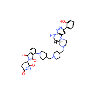 O=C1CCC(N2C(=O)c3cccc(N4CCC(CN5CCC(CN6CCN7c8cc(-c9ccccc9O)nnc8NC[C@H]7C6)CC5)CC4)c3C2=O)C(=O)N1